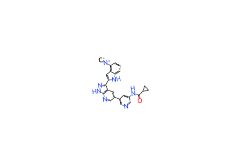 [C-]#[N+]c1cccc2[nH]c(-c3n[nH]c4ncc(-c5cncc(NC(=O)C6CC6)c5)cc34)cc12